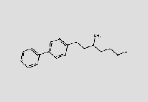 CCCCC(N)CCc1ccc(-c2ccccc2)cc1